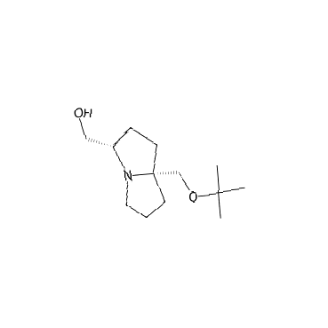 CC(C)(C)OC[C@]12CCCN1[C@H](CO)CC2